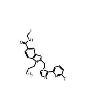 CCCn1c(Cn2ccnc2-c2cccc(F)n2)nc2cc(C(=O)NCF)ccc21